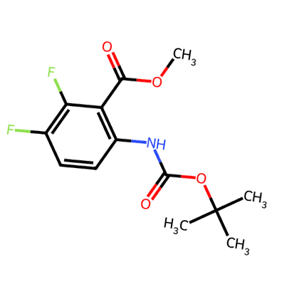 COC(=O)c1c(NC(=O)OC(C)(C)C)ccc(F)c1F